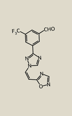 O=Cc1cc(-c2ncn(/C=C\c3ncno3)n2)cc(C(F)(F)F)c1